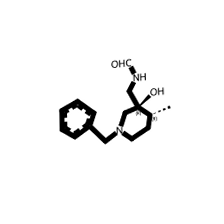 C[C@@H]1CCN(Cc2ccccc2)C[C@]1(O)CNC=O